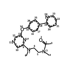 CC(=O)N(C)CCN(C)c1cncc(Oc2ccc(-c3ccccn3)cc2)n1